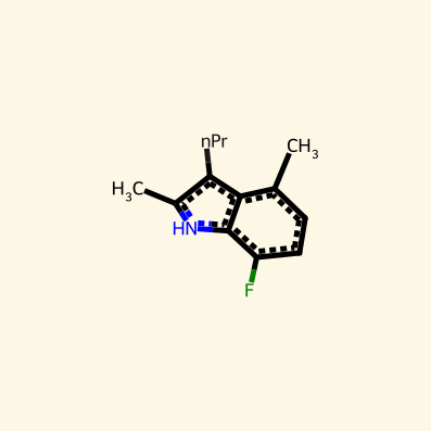 CCCc1c(C)[nH]c2c(F)ccc(C)c12